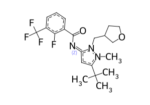 Cn1c(C(C)(C)C)c/c(=N/C(=O)c2cccc(C(F)(F)F)c2F)n1CC1CCOC1